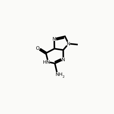 CN1C=NC2C(=O)NC(N)=NC21